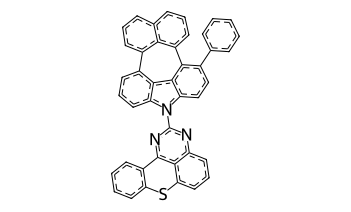 c1ccc(-c2ccc3c4c2-c2cccc5cccc(c25)-c2cccc(c24)n3-c2nc3c4c(cccc4n2)Sc2ccccc2-3)cc1